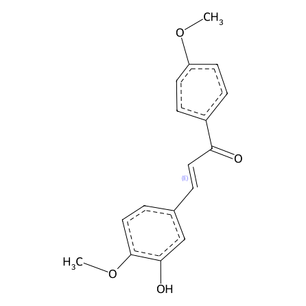 COc1ccc(C(=O)/C=C/c2ccc(OC)c(O)c2)cc1